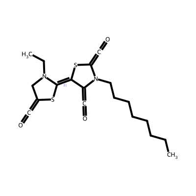 CCCCCCCCN1C(=C=O)S/C(=C2/SC(=C=O)CN2CC)C1=C=O